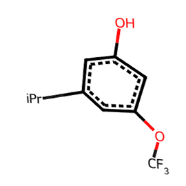 CC(C)c1cc(O)cc(OC(F)(F)F)c1